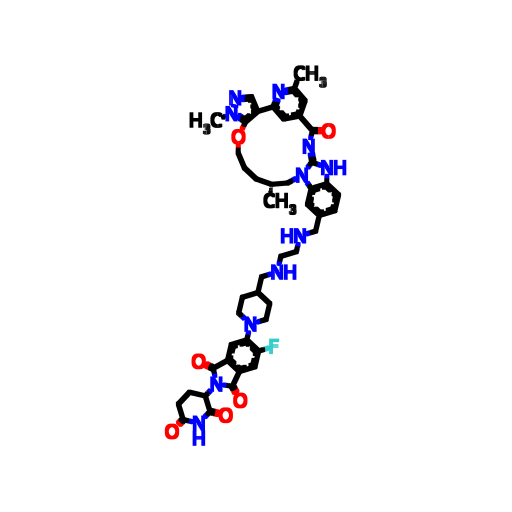 Cc1cc2cc(n1)-c1cnn(C)c1OCCC[C@@H](C)CN1/C(=N/C2=O)Nc2ccc(CNCCNCC3CCN(c4cc5c(cc4F)C(=O)N(C4CCC(=O)NC4=O)C5=O)CC3)cc21